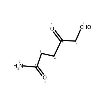 NC(=O)CCC(=O)CC=O